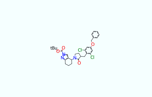 CC(C)(C)OC(=O)n1cc2c(n1)CCCC2N1CCC(Cc2c(Cl)cc(OCc3ccccc3)cc2Cl)C1=O